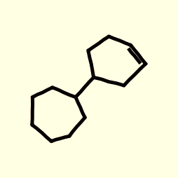 C1=CCC([C]2CCCCCC2)CC1